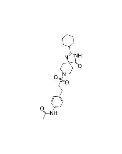 CC(=O)Nc1ccc(CCS(=O)(=O)N2CCC3(CC2)N=C(C2CCCCC2)NC3=O)cc1